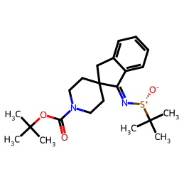 CC(C)(C)OC(=O)N1CCC2(CC1)Cc1ccccc1C2=N[S@+]([O-])C(C)(C)C